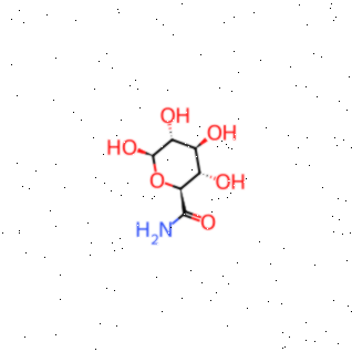 NC(=O)[C@H]1O[C@@H](O)[C@H](O)[C@@H](O)[C@@H]1O